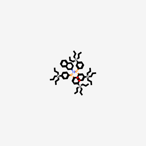 CCC[Si](CCC)(CCC)c1ccc(P(c2ccc([Si](CCC)(CCC)CCC)cc2)N(C2CCc3ccccc3C2)P(c2cccc([Si](CCC)(CCC)CCC)c2)c2cccc([Si](CCC)(CCC)CCC)c2)cc1